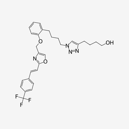 OCCCCc1cn(CCCCc2ccccc2OCc2coc(C=Cc3ccc(C(F)(F)F)cc3)n2)nn1